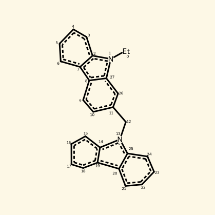 CCn1c2ccccc2c2ccc(Cn3c4ccccc4c4ccccc43)cc21